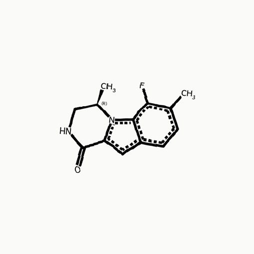 Cc1ccc2cc3n(c2c1F)[C@H](C)CNC3=O